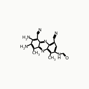 Cc1c(NC=O)cc(C#N)c2nc3c(C#N)c(N)c(N)c(C)c3nc12